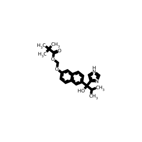 CC(C)C(O)(c1ccc2cc(OCOC(=O)C(C)(C)C)ccc2c1)c1c[nH]cn1